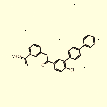 COC(=O)c1cccc(CC(=O)c2ccc(Cl)c(-c3ccc(-c4ccccc4)cc3)c2)c1